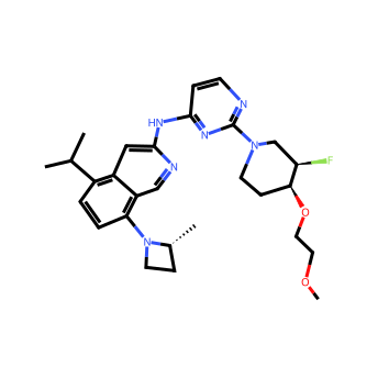 COCCO[C@H]1CCN(c2nccc(Nc3cc4c(C(C)C)ccc(N5CC[C@H]5C)c4cn3)n2)C[C@H]1F